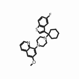 COc1cc(N2CCN(C3(c4csc5ccc(F)cc45)CCCCC3)CC2)c2ncccc2c1